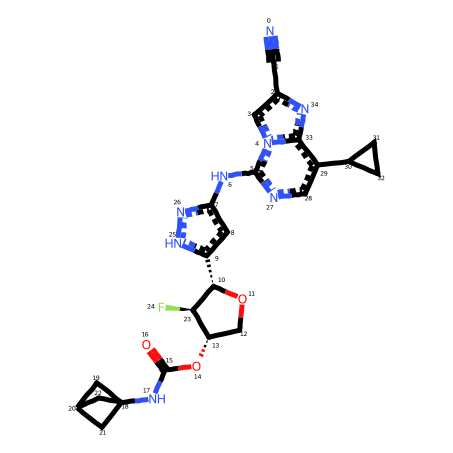 N#Cc1cn2c(Nc3cc([C@@H]4OC[C@H](OC(=O)NC56CC(C5)C6)[C@H]4F)[nH]n3)ncc(C3CC3)c2n1